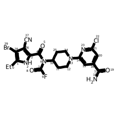 CCc1[nH]c(C(=O)N(C(=O)F)C2CCN(c3cc(C(N)=O)cc(Cl)n3)CC2)c(C#N)c1Br